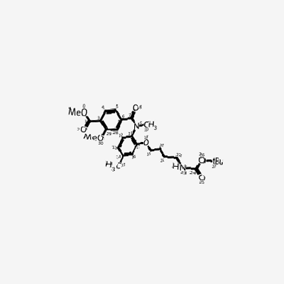 COC(=O)c1ccc(C(=O)N(C)c2ccc(C)cc2OCCCCNC(=O)OC(C)(C)C)cc1OC